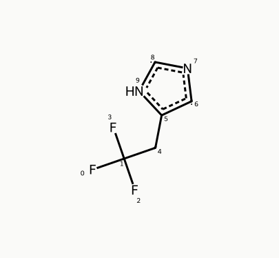 FC(F)(F)Cc1[c]n[c][nH]1